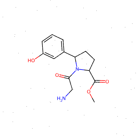 COC(=O)C1CCC(c2cccc(O)c2)N1C(=O)CN